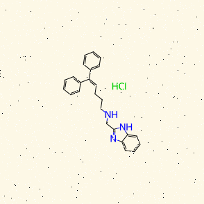 C(CCCNCc1nc2ccccc2[nH]1)=C(c1ccccc1)c1ccccc1.Cl